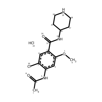 COc1cc(NC(C)=O)c(Cl)cc1C(=O)NC1CCNCC1.Cl